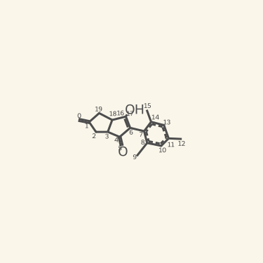 C=C1CC2C(=O)C(c3c(C)cc(C)cc3C)=C(O)C2C1